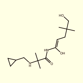 CC(C)(CO)C/C=C(\O)NC(=O)C(C)(C)NCC1CC1